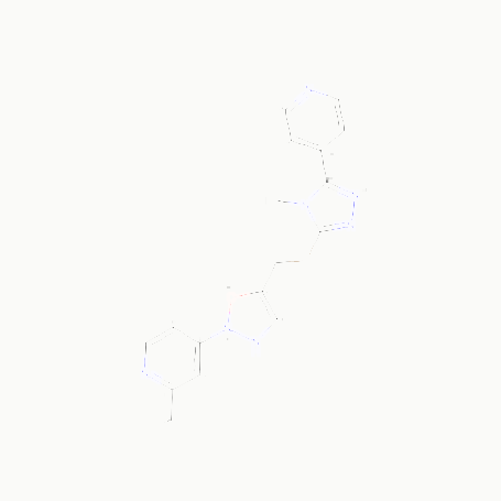 CCn1c(SCC2=CNN(c3ccnc(C)c3)O2)nnc1-c1ccncc1